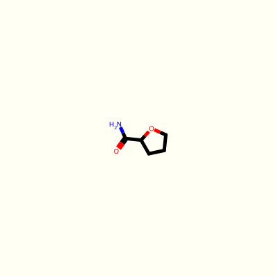 NC(=O)[C]1CCCO1